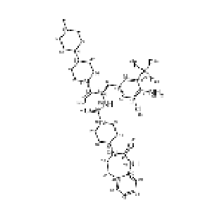 CN1CCC(C2CCN(C(=O)[C@@H](Cc3cc(Cl)c(N)c(C(F)(F)F)c3)NC(=O)N3CCC(N4CCc5ccccc5NC4=O)CC3)CC2)CC1